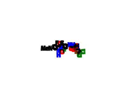 CNc1ccc2c(=O)n(-c3c(F)cc(NC(=O)NS(=O)(=O)c4cc(Cl)c(Cl)s4)cc3C(F)(F)F)c(=O)[nH]c2c1